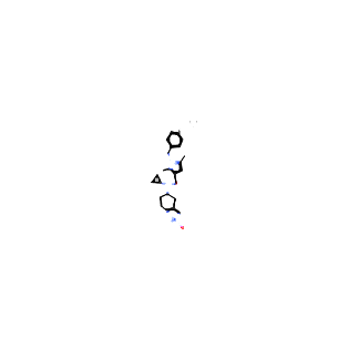 COc1ccc(Cn2c(C)cc(C(=O)N(C3CC3)C3CCc4nn(C(=O)OC(C)(C)C)cc4C3)c2C)cc1